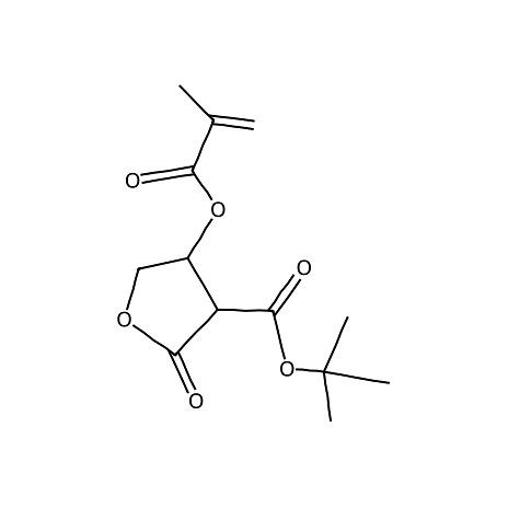 C=C(C)C(=O)OC1COC(=O)C1C(=O)OC(C)(C)C